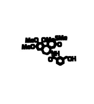 COc1cc2c(c(OC)c1OC)-c1ccc(SC)c(=O)cc1[C@@H](NC(=O)c1cccc(CO)c1)CC2